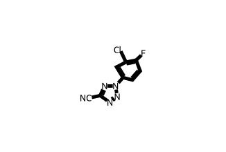 N#Cc1nnn(-c2ccc(F)c(Cl)c2)n1